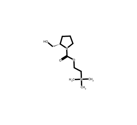 C[Si](C)(C)CCOC(=O)N1CCC[C@H]1CO